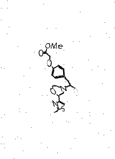 COC(=O)COc1ccc(CC(C)N2CCOC(c3csc(C)n3)C2)cc1